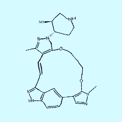 Cc1nn([C@H]2CCNC[C@@H]2O)c2c1/C=C/c1n[nH]c3ccc(cc13)-c1cnn(C)c1OCCCO2